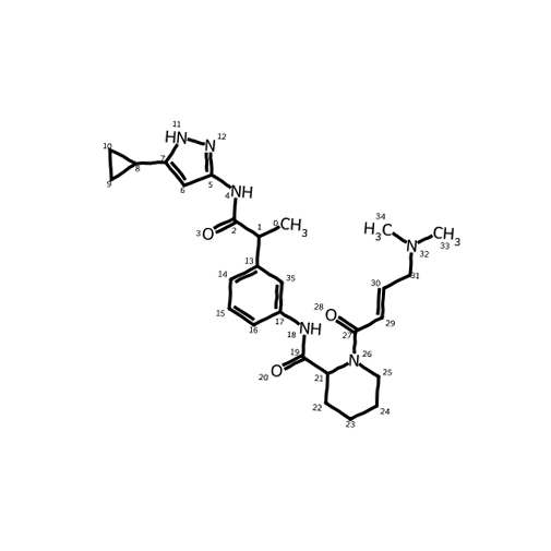 CC(C(=O)Nc1cc(C2CC2)[nH]n1)c1cccc(NC(=O)C2CCCCN2C(=O)C=CCN(C)C)c1